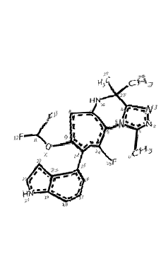 Cc1nnc2n1-c1c(cc(OC(F)F)c(-c3cccc4[nH]ccc34)c1F)NC2(C)C